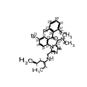 C=CCC(CC)NCc1nnc(CN(C)C)n1-c1ccc(Br)cc1C(=O)c1c(F)cccc1F